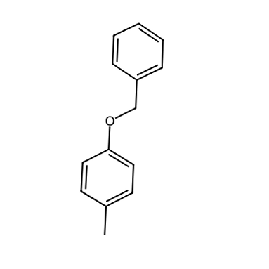 Cc1ccc(OCc2ccccc2)cc1